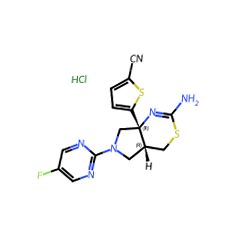 Cl.N#Cc1ccc([C@]23CN(c4ncc(F)cn4)C[C@H]2CSC(N)=N3)s1